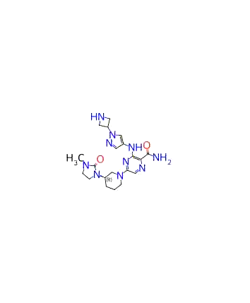 CN1CCN([C@@H]2CCCN(c3cnc(C(N)=O)c(Nc4cnn(C5CNC5)c4)n3)C2)C1=O